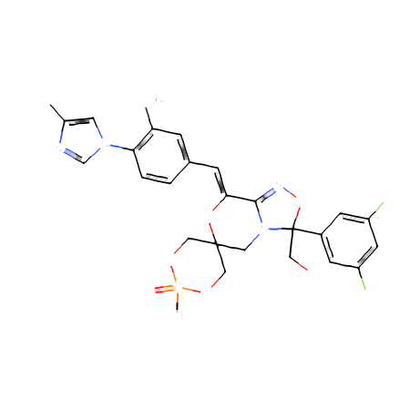 COc1cc(/C=C2\OC3(COP(C)(=O)OC3)CN3C2=NOC3(CO)c2cc(F)cc(F)c2)ccc1-n1cnc(C)c1